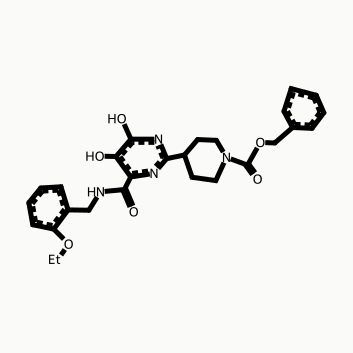 CCOc1ccccc1CNC(=O)c1nc(C2CCN(C(=O)OCc3ccccc3)CC2)nc(O)c1O